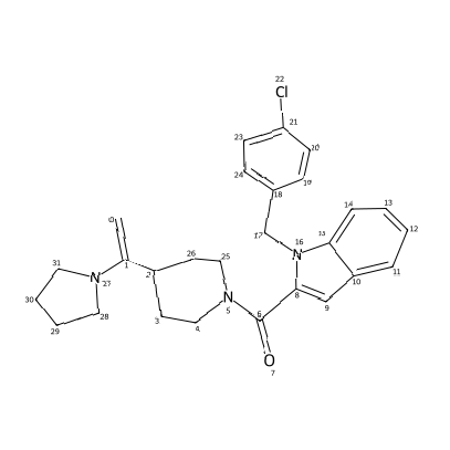 C=C(C1CCN(C(=O)c2cc3ccccc3n2Cc2ccc(Cl)cc2)CC1)N1CCCC1